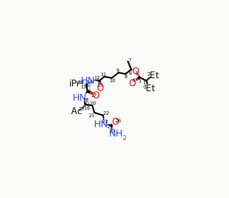 CCC(CC)C(=O)OC(C)CCCCC(=O)N[C@H](C(=O)N[C@@H](CCCNC(N)=O)C(C)=O)C(C)C